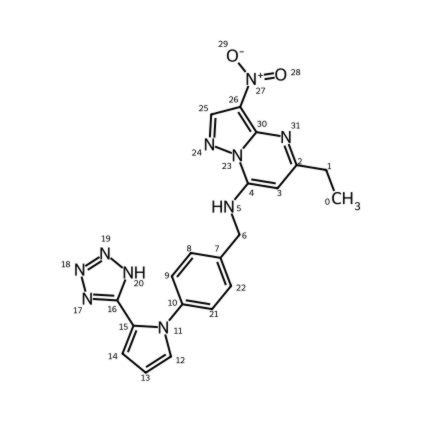 CCc1cc(NCc2ccc(-n3cccc3-c3nnn[nH]3)cc2)n2ncc([N+](=O)[O-])c2n1